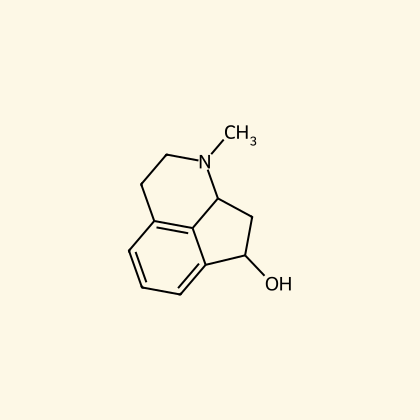 CN1CCc2cccc3c2C1CC3O